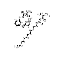 C=C(C)C(=O)OC(=O)CCCCCCCCCCCCC.C=C(C)C(=O)OCc1ccccc1.O=C1C=CC(=O)O1